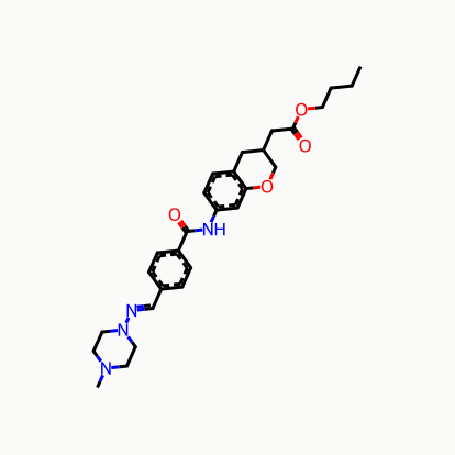 CCCCOC(=O)CC1COc2cc(NC(=O)c3ccc(C=NN4CCN(C)CC4)cc3)ccc2C1